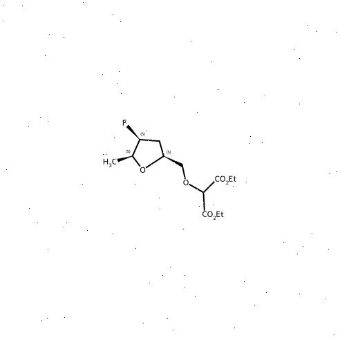 CCOC(=O)C(OC[C@@H]1C[C@H](F)[C@H](C)O1)C(=O)OCC